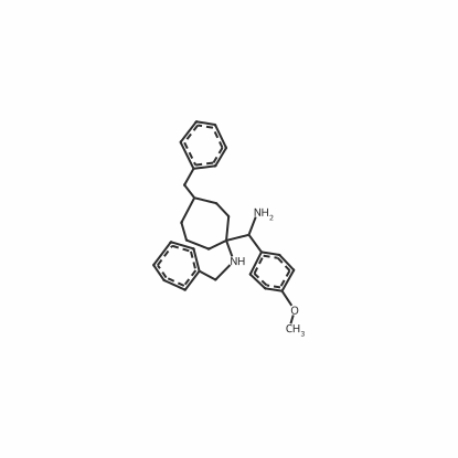 COc1ccc(C(N)C2(NCc3ccccc3)CCCC(Cc3ccccc3)CC2)cc1